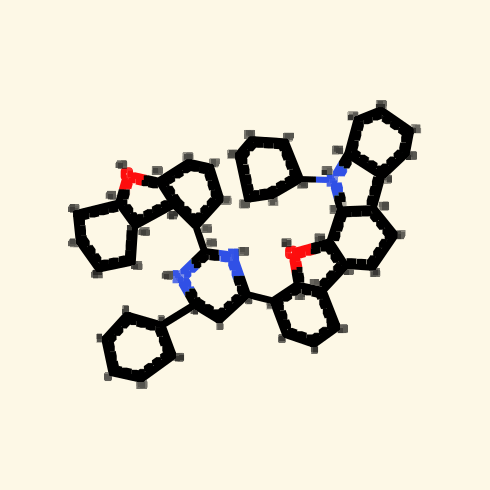 c1ccc(-c2cc(-c3cccc4c3oc3c4ccc4c5ccccc5n(-c5ccccc5)c43)nc(-c3cccc4oc5ccccc5c34)n2)cc1